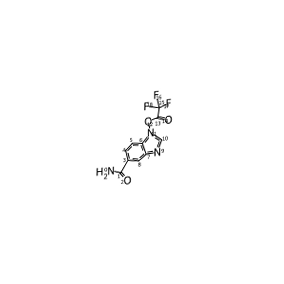 NC(=O)c1ccc2c(c1)ncn2OC(=O)C(F)(F)F